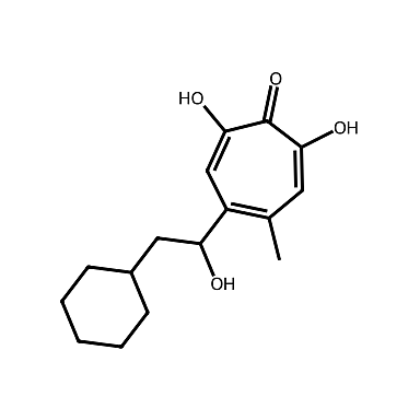 Cc1cc(O)c(=O)c(O)cc1C(O)CC1CCCCC1